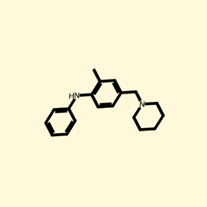 Cc1cc(CN2CCCCC2)ccc1Nc1ccccc1